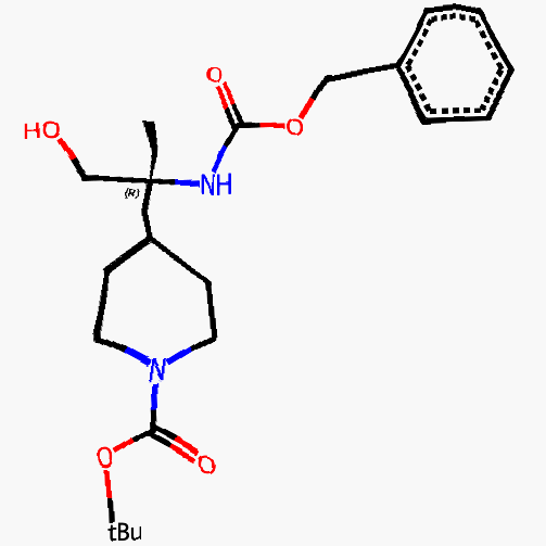 CC(C)(C)OC(=O)N1CCC([C@](C)(CO)NC(=O)OCc2ccccc2)CC1